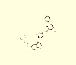 COc1cc2nccc(Oc3ccc(NC(=O)c4c5c(cn(-c6ccc(F)cc6)c4=O)CCO5)cc3F)c2cc1NCCN1CCOCC1